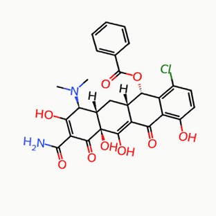 CN(C)[C@@H]1C(O)=C(C(N)=O)C(=O)[C@@]2(O)C(O)=C3C(=O)c4c(O)ccc(Cl)c4[C@@H](OC(=O)c4ccccc4)[C@H]3C[C@@H]12